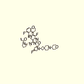 C#Cc1c(F)ccc2c1[C@H](c1ncc3c(N(C)C[C@@H]4CCCN4C(=O)C=C)nc(OC[C@]4(C)C[C@@H](F)CN4C4CC5(CCN(C6CCOCC6)CC5)C4)nc3c1F)CCO2